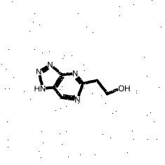 OCCc1ncc2[nH]nnc2n1